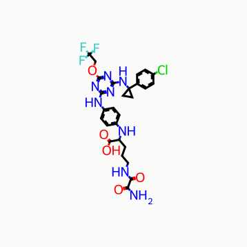 NC(=O)C(=O)NCCCC(Nc1ccc(Nc2nc(NC3(c4ccc(Cl)cc4)CC3)nc(OCC(F)(F)F)n2)cc1)C(=O)O